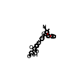 Cc1cc(OC2CC3CCC(C2)N3c2ccc(C(=O)N3CCC(N4Cc5cc6c(cc5C4)C(=O)N(C4CCC(=O)NC4=O)C6=O)CC3)cc2)ccc1C#N